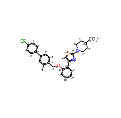 Cc1cc(-c2ccc(Cl)cc2)ccc1COc1ccccc1-c1csc(N2CCC(C(=O)O)CC2)n1